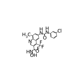 Cc1cc(NC(=O)Nc2cccc(Cl)c2)cc2c(C(F)(F)F)c(C(=O)NO)cnc12